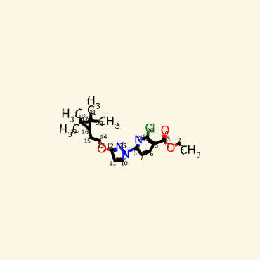 CCOC(=O)c1ccc(-n2ccc(OCCC3C(C)(C)C3(C)C)n2)nc1Cl